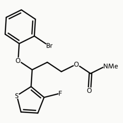 CNC(=O)OCCC(Oc1ccccc1Br)c1sccc1F